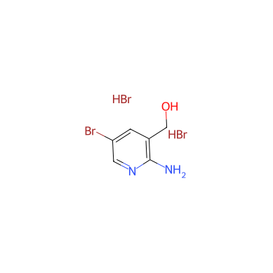 Br.Br.Nc1ncc(Br)cc1CO